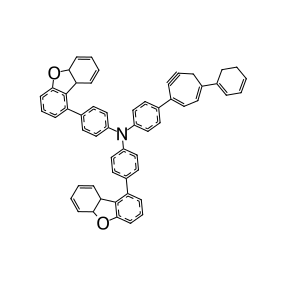 C1#CC(c2ccc(N(c3ccc(-c4cccc5c4C4C=CC=CC4O5)cc3)c3ccc(-c4cccc5c4C4C=CC=CC4O5)cc3)cc2)=CC=C(C2=CC=CCC2)C1